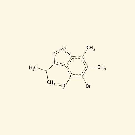 Cc1c(Br)c(C)c2c(C(C)C)coc2c1C